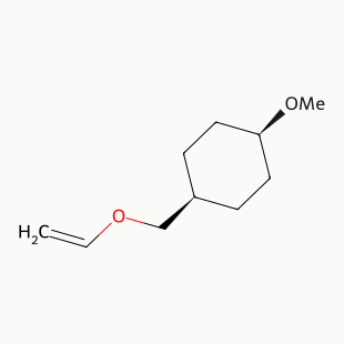 C=COC[C@H]1CC[C@@H](OC)CC1